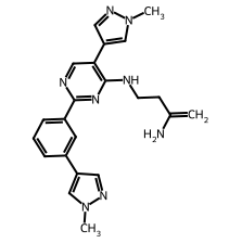 C=C(N)CCNc1nc(-c2cccc(-c3cnn(C)c3)c2)ncc1-c1cnn(C)c1